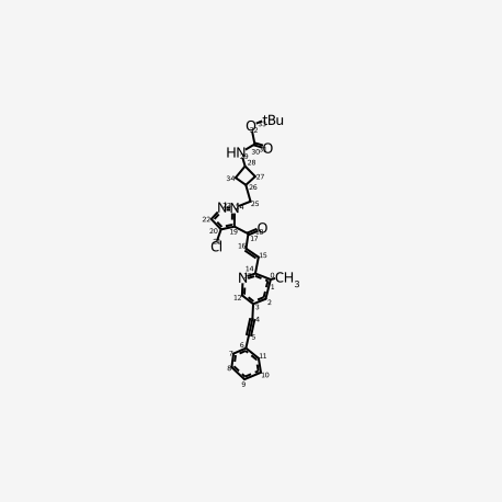 Cc1cc(C#Cc2ccccc2)cnc1/C=C/C(=O)c1c(Cl)cnn1CC1CC(NC(=O)OC(C)(C)C)C1